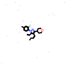 C=Cc1c(/C=C\CC)c(C2CCOCC2)nn1-c1ccc(C)cc1F